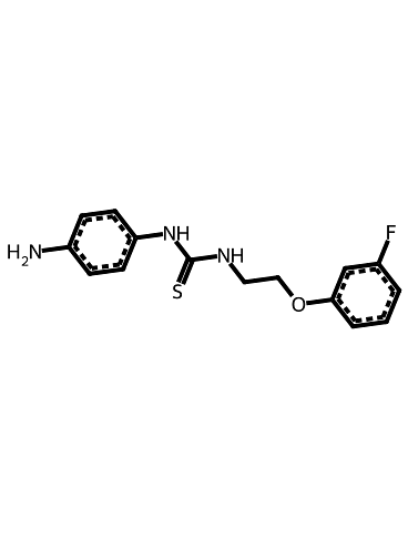 Nc1ccc(NC(=S)NCCOc2cccc(F)c2)cc1